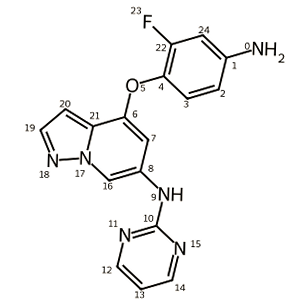 Nc1ccc(Oc2cc(Nc3ncccn3)cn3nccc23)c(F)c1